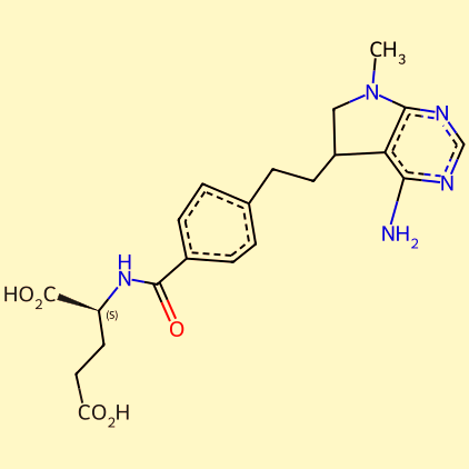 CN1CC(CCc2ccc(C(=O)N[C@@H](CCC(=O)O)C(=O)O)cc2)c2c(N)ncnc21